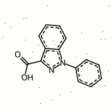 O=C(O)c1nn(-c2ccccc2)c2ccccc12